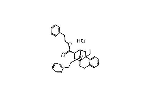 CCC12CC3C(C(=O)OCCc4ccccc4)CC1C(Cc1ccccc12)N3CCc1ccccc1.Cl